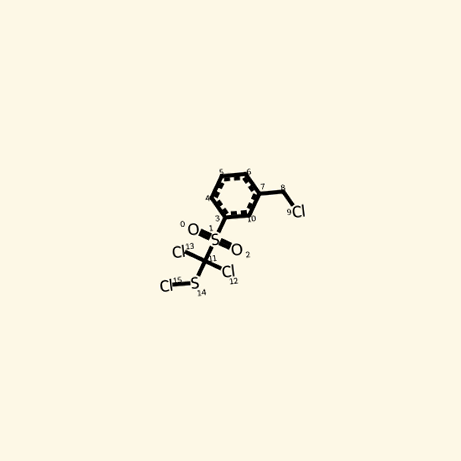 O=S(=O)(c1cccc(CCl)c1)C(Cl)(Cl)SCl